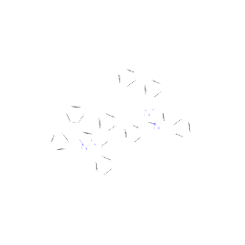 c1ccc(-c2cccc(-c3cc(-c4ccccc4)nc(-c4cccc(-c5cccc6c5cc(-c5ccccc5)n5nc(-c7ccccc7)c(-c7ccccc7)c65)c4)n3)c2)cc1